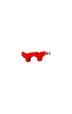 COc1ccc(N(c2ccccc2)c2ccc(COCc3ccc(N(c4ccccc4)c4ccc(CO)cc4)cc3)cc2)cc1